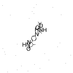 CC1CC(=O)NN=C1c1ccc(NCC(C)(C)NC(=O)OC(C)(C)C)cc1